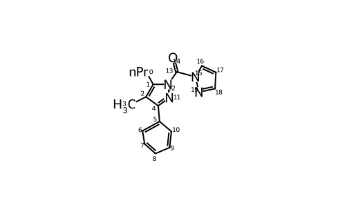 CCCc1c(C)c(-c2ccccc2)nn1C(=O)n1cccn1